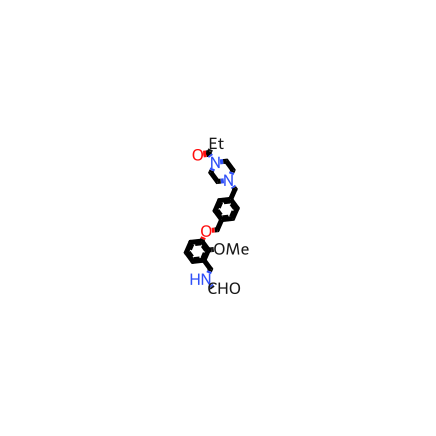 CCC(=O)N1CCN(Cc2ccc(COc3cccc(CNC=O)c3OC)cc2)CC1